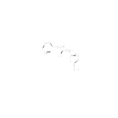 CC(C)c1cnc(NC(=O)Nc2cccnc2)s1